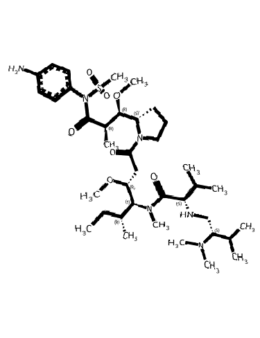 CC[C@@H](C)[C@@H]([C@@H](CC(=O)N1CCC[C@H]1[C@H](OC)[C@@H](C)C(=O)N(c1ccc(N)cc1)S(C)(=O)=O)OC)N(C)C(=O)[C@@H](NC[C@H](C(C)C)N(C)C)C(C)C